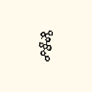 Cc1cccc(-c2ccccc2)c1-c1cc(-c2c3ccccc3c(-c3cccc(-c4ccccc4)c3)c3ccccc23)ccc1S